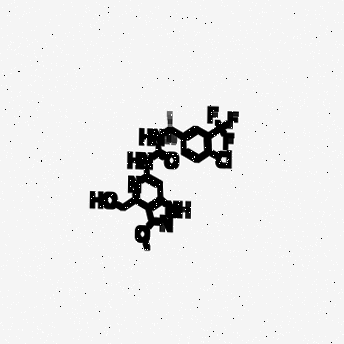 COc1n[nH]c2cc(NC(=O)N[C@H](C)c3ccc(Cl)c(C(F)(F)F)c3)nc(CO)c12